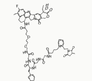 CC[C@@]1(O)C(=O)OCc2c1cc1n(c2=O)Cc2c-1nc1cc(F)c(C)c3c1c2[C@@H](NC(=O)CCOCCOCNC(=O)CNC(=O)[C@H](Cc1ccccc1)NC(=O)CNC(=O)CNC(=O)CCC[n+]1ccccc1CCN1C(=O)CC(C)C1=O)CC3